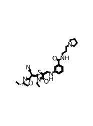 CC[C@H]1COC(C(C#N)=c2sc(=CNc3cccc(C(=O)NCCCN4CCCC4)c3)c(=O)n2CC)=N1